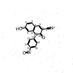 N#Cc1cc2ccc(O)cc2n(-c2ccc(N=O)cc2)c1=O